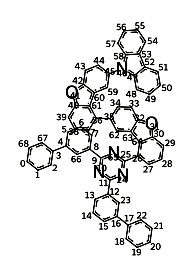 c1ccc(-c2cccc(-c3nc(-c4cccc(-c5ccccc5)c4)nc(-c4cccc5oc6ccc(-c7cccc8oc9ccc(-n%10c%11ccccc%11c%11ccccc%11%10)cc9c78)cc6c45)n3)c2)cc1